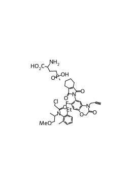 C#CCN1C(=O)COc2cc(F)c(N3C(=O)C4=C(CCCC4)C3=O)cc21.CCc1cccc(C)c1N(C(=O)CCl)C(C)COC.CP(=O)(O)CCC(N)C(=O)O